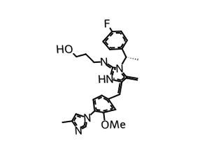 C=c1/c(=C/c2ccc(-n3cnc(C)c3)c(OC)c2)[nH]/c(=N\CCCO)n1[C@@H](C)c1ccc(F)cc1